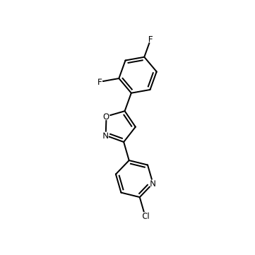 Fc1ccc(-c2cc(-c3ccc(Cl)nc3)no2)c(F)c1